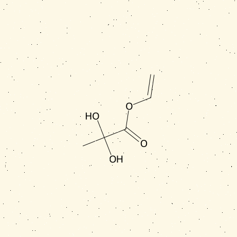 C=COC(=O)C(C)(O)O